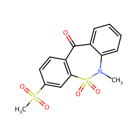 CN1c2ccccc2C(=O)c2ccc(S(C)(=O)=O)cc2S1(=O)=O